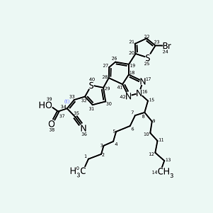 CCCCCCCCC(CCCCCC)Cn1nc2c(-c3ccc(Br)s3)ccc(-c3ccc(/C=C(\C#N)C(=O)O)s3)c2n1